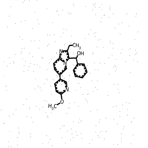 CCc1nc2ccc(-c3ccc(OC)nc3)cn2c1C(O)c1ccccc1